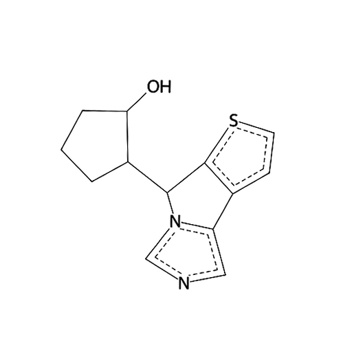 OC1CCCC1C1c2sccc2-c2cncn21